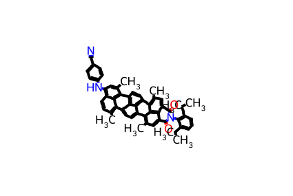 Cc1ccc2c(Nc3ccc(C#N)cc3)cc(C)c3c4ccc5c6c(C)cc7c8c(cc(C)c(c9ccc(c1c23)c4c95)c86)C(=O)N(c1c(C(C)C)cccc1C(C)C)C7=O